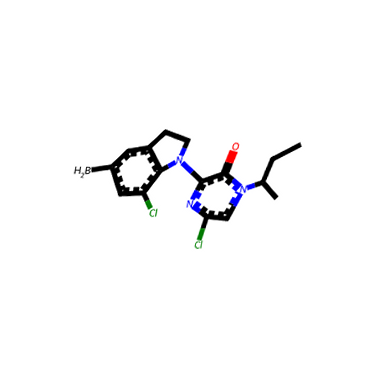 Bc1cc(Cl)c2c(c1)CCN2c1nc(Cl)cn(C(C)CC)c1=O